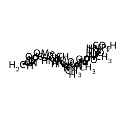 C=C1C[C@H]2C=Nc3cc(OCCCC(=O)Nc4cn(C)c(C(=O)Nc5cc(C(=O)Nc6cc(C(=O)n7ccc8cc(NC(=O)C(C)NC(=O)C(NC(=O)O)C(C)C)ccc87)n(C)c6)n(C)c5)n4)c(OC)cc3C(=O)N2C1